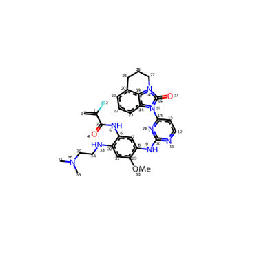 C=C(F)C(=O)Nc1cc(Nc2nccc(-n3c(=O)n4c5c(cccc53)CCC4)n2)c(OC)cc1NCCN(C)C